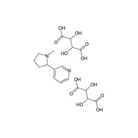 CN1CCCC1c1cccnc1.O=C(O)C(O)C(O)C(=O)O.O=C(O)C(O)C(O)C(=O)O